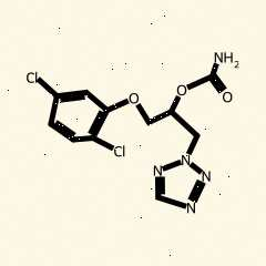 NC(=O)OC(COc1cc(Cl)ccc1Cl)Cn1ncnn1